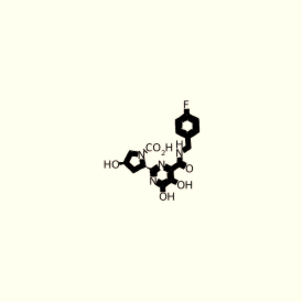 O=C(NCc1ccc(F)cc1)c1nc([C@@H]2C[C@@H](O)CN2C(=O)O)nc(O)c1O